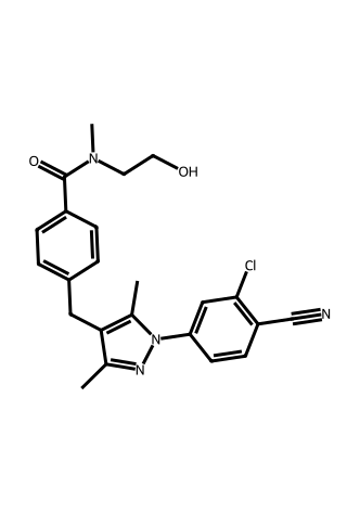 Cc1nn(-c2ccc(C#N)c(Cl)c2)c(C)c1Cc1ccc(C(=O)N(C)CCO)cc1